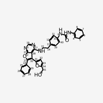 O=C(Nc1ccccc1)Nc1ccc(CCNc2ncnc3oc(-c4ccccc4)c(-c4ccc(CO)o4)c23)cc1